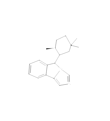 O[C@H]1CCC(F)(F)CC1C1c2ccccc2-c2cncn21